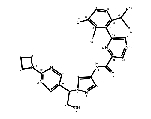 O=C(Nc1cnn(C(CO)c2cnc(N3CCC3)nc2)c1)c1cncc(-c2c(C(F)F)ccc(Cl)c2F)n1